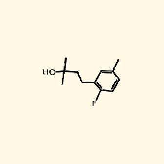 Cc1ccc(F)c(CCC(C)(C)O)c1